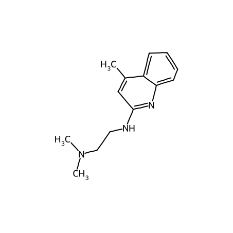 Cc1cc(NCCN(C)C)nc2ccccc12